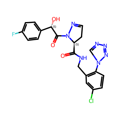 O=C(NCc1cc(Cl)ccc1-n1cnnn1)[C@@H]1CC=NN1C(=O)[C@@H](O)c1ccc(F)cc1